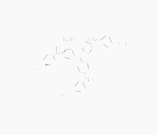 O=S(=O)(O)c1ccc(Nc2ccc(C(=C3C=CC(Nc4ccc(S(=O)(=O)O)cc4)C=C3)c3ccc(Nc4ccc(S(=O)(=O)O)cc4)cc3)cc2)cc1.[NaH]